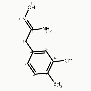 Bc1ccc(C/C(N)=N/O)cc1Cl